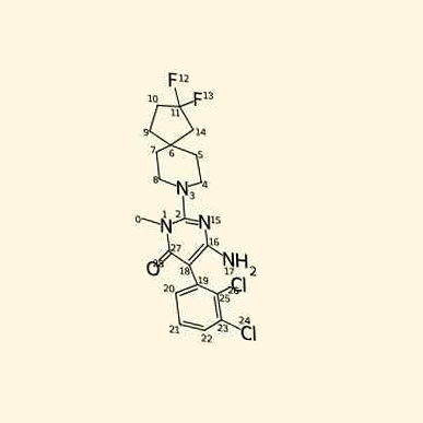 Cn1c(N2CCC3(CC2)CCC(F)(F)C3)nc(N)c(-c2cccc(Cl)c2Cl)c1=O